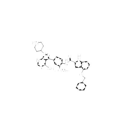 COc1cc(-c2nn(C3CCNCC3)c3ncnc(N)c23)ccc1NC(=O)c1cc2c(OCc3ccccc3)cccc2[nH]1